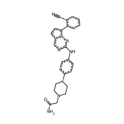 N#Cc1ccccc1-c1ccc2cnc(Nc3ccc(C4CCN(CC(N)=O)CC4)cc3)nn12